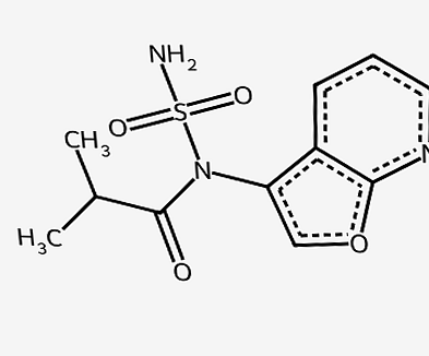 CC(C)C(=O)N(c1coc2ncccc12)S(N)(=O)=O